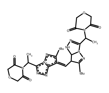 CC(C1=NNC2C(C=c3c(C(C)(C)C)nn4c(C(C)N5C(=O)COCC5=O)nnc34)C(C(C)(C)C)=NN12)N1C(=O)COCC1=O